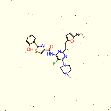 CN1CCN(c2nc(/C=C/c3ccc([N+](=O)[O-])o3)nc(NC(=O)c3csc(-c4ccccc4O)n3)c2F)CC1